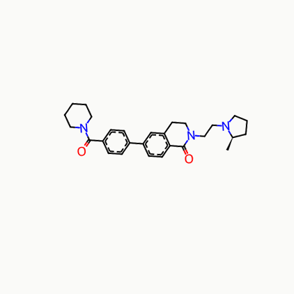 C[C@@H]1CCCN1CCN1CCc2cc(-c3ccc(C(=O)N4CCCCC4)cc3)ccc2C1=O